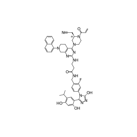 C=CC(=O)N1CCN(c2nc(NCCC(=O)NCc3ccc(-n4c(O)nnc4-c4cc(C(C)C)c(O)cc4O)cc3F)nc3c2CCN(c2cccc4ccccc24)C3)C[C@H]1CC#N